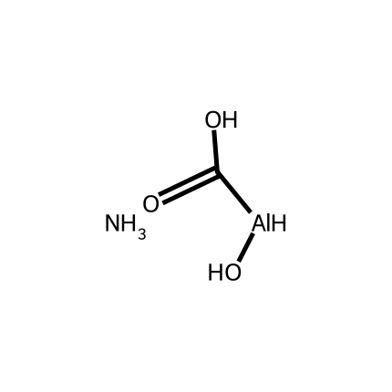 N.O=[C](O)[AlH][OH]